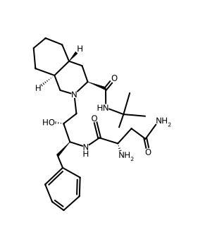 CC(C)(C)NC(=O)[C@@H]1C[C@H]2CCCC[C@@H]2CN1C[C@@H](O)[C@H](Cc1ccccc1)NC(=O)[C@@H](N)CC(N)=O